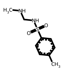 CNCNS(=O)(=O)c1ccc(C)cc1